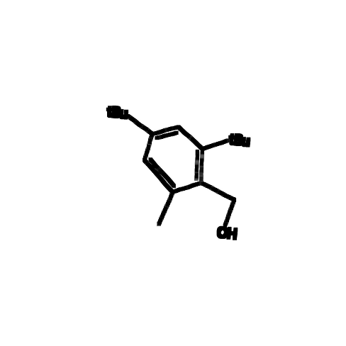 Cc1cc(C(C)(C)C)cc(C(C)(C)C)c1CO